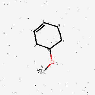 CC(C)(C)OC1CC=CCC1